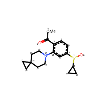 COC(=O)c1ccc([S+]([O-])C2CC2)cc1N1CCC2(CC1)CC2